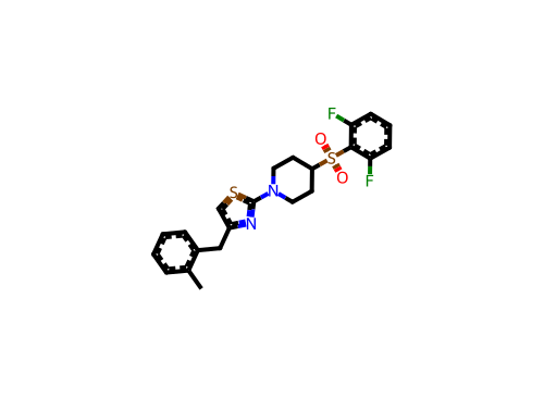 Cc1ccccc1Cc1csc(N2CCC(S(=O)(=O)c3c(F)cccc3F)CC2)n1